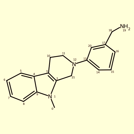 Cn1c2c(c3ccccc31)CCN(c1cccc(CN)c1)C2